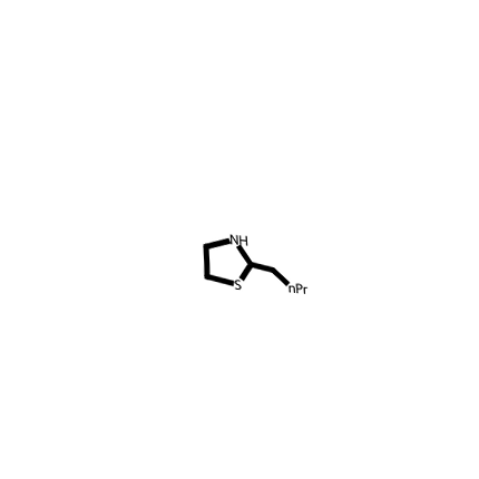 [CH2]CCCC1NCCS1